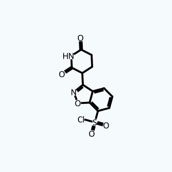 O=C1CCC(c2noc3c(S(=O)(=O)Cl)cccc23)C(=O)N1